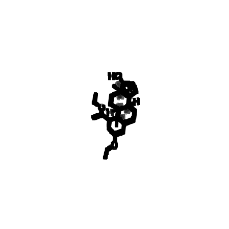 C=C(OCC)C1CC(OCC)=CC2=CC[C@@H]3[C@H](CC[C@]4(C)[C@@H](O)CC[C@@]34O)[C@]21C